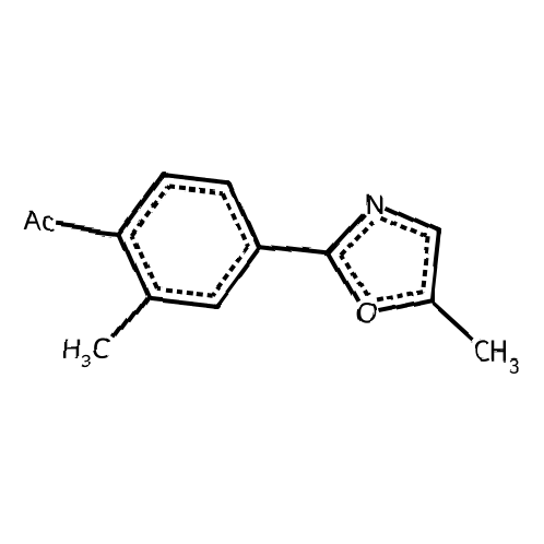 CC(=O)c1ccc(-c2ncc(C)o2)cc1C